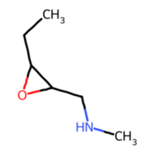 CCC1OC1CNC